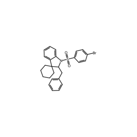 O=S(=O)(c1ccc(Br)cc1)N1c2ccccc2C2(CCCCC2)C1Cc1ccccc1